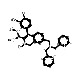 Cc1ccc(C2=C(C(OC(C)(C)C)C(=O)O)N(C)Cc3cc(CN(Cc4ccccn4)Cc4ccccn4)ccc32)cc1C